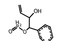 C=CC(O)C(O[PH2]=O)c1ccccc1